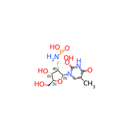 Cc1cn([C@H]2O[C@@H](CO)[C@H](O)[C@H]2F)c(=O)[nH]c1=O.NP(=O)(O)O